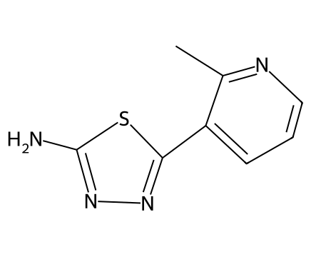 Cc1ncccc1-c1nnc(N)s1